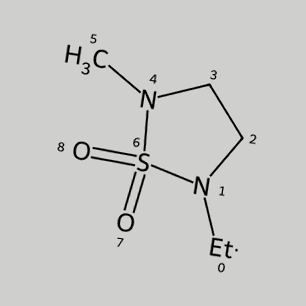 C[CH]N1CCN(C)S1(=O)=O